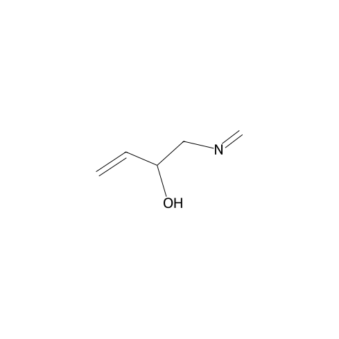 C=CC(O)CN=C